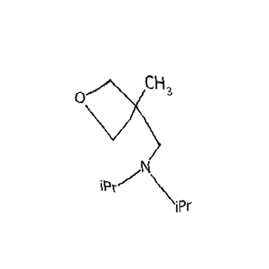 CC(C)N(CC1(C)COC1)C(C)C